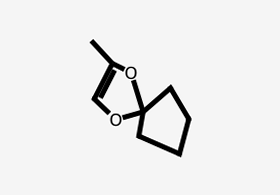 CC1=COC2(CCCC2)O1